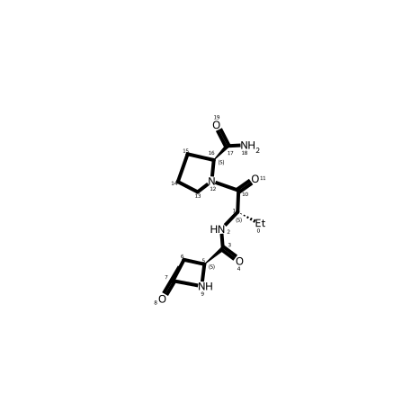 CC[C@H](NC(=O)[C@@H]1CC(=O)N1)C(=O)N1CCC[C@H]1C(N)=O